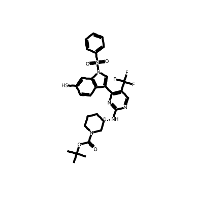 CC(C)(C)OC(=O)N1CCC[C@H](Nc2ncc(C(F)(F)F)c(-c3cn(S(=O)(=O)c4ccccc4)c4cc(S)ccc34)n2)C1